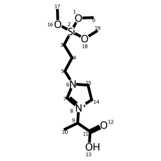 CO[Si](CCCN1C=[N+](C(C)C(=O)O)CC1)(OC)OC